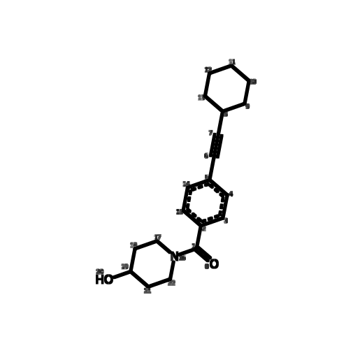 O=C(c1ccc(C#CC2CCCCC2)cc1)N1CCC(O)CC1